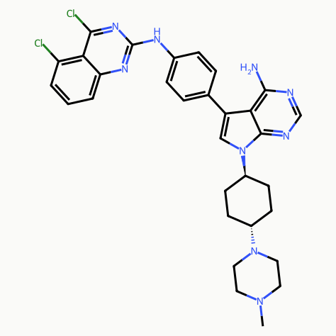 CN1CCN([C@H]2CC[C@H](n3cc(-c4ccc(Nc5nc(Cl)c6c(Cl)cccc6n5)cc4)c4c(N)ncnc43)CC2)CC1